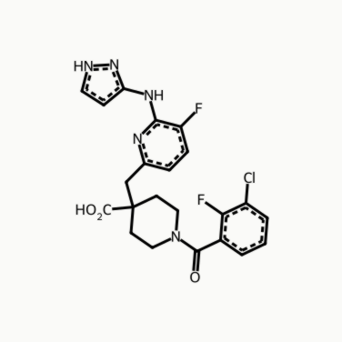 O=C(c1cccc(Cl)c1F)N1CCC(Cc2ccc(F)c(Nc3cc[nH]n3)n2)(C(=O)O)CC1